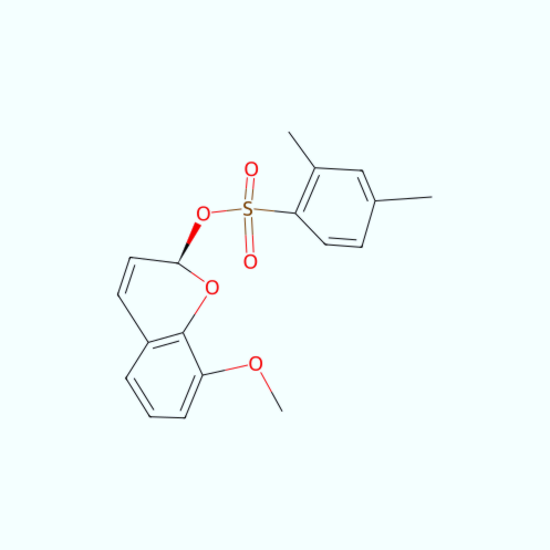 COc1cccc2c1O[C@H](OS(=O)(=O)c1ccc(C)cc1C)C=C2